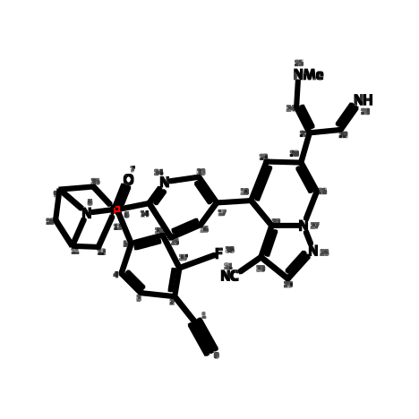 C#Cc1ccc(C(=O)N2C3CC2CN(c2ccc(-c4cc(/C(C=N)=C/NC)cn5ncc(C#N)c45)cn2)C3)cc1F